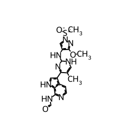 COc1nn([S+](C)[O-])cc1NC1N=C(c2c[nH]c3c(NC=O)nccc23)C(C)=CN1